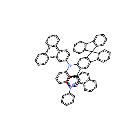 c1ccc(-c2cc3c(cc2N(c2ccc4c5ccccc5c5ccccc5c4c2)c2cccc4c2c2ccc5ccccc5c2n4-c2ccccc2)C2(c4ccccc4-c4ccccc42)c2ccccc2-3)cc1